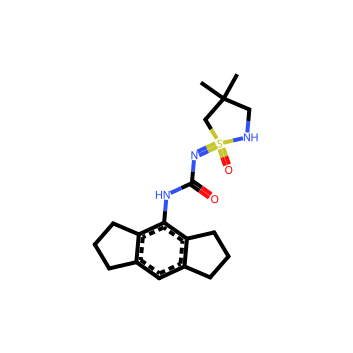 CC1(C)CNS(=O)(=NC(=O)Nc2c3c(cc4c2CCC4)CCC3)C1